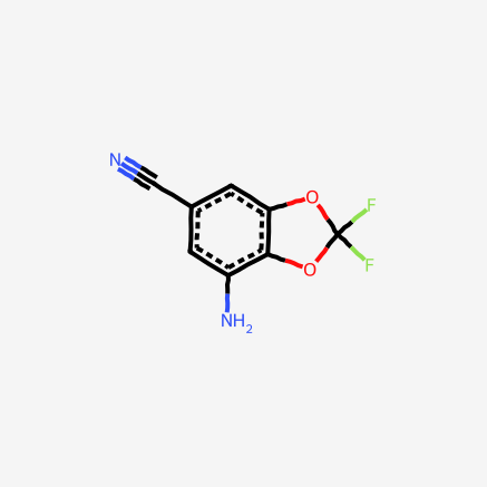 N#Cc1cc(N)c2c(c1)OC(F)(F)O2